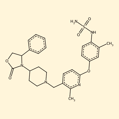 Cc1cc(Oc2ccc(CN3CCC(N4C(=O)OCC4c4ccccc4)CC3)c(C)n2)ccc1NS(N)(=O)=O